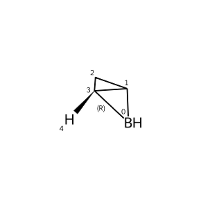 B1C2C[C@@H]12